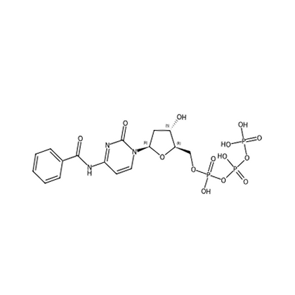 O=C(Nc1ccn([C@H]2C[C@H](O)[C@@H](COP(=O)(O)OP(=O)(O)OP(=O)(O)O)O2)c(=O)n1)c1ccccc1